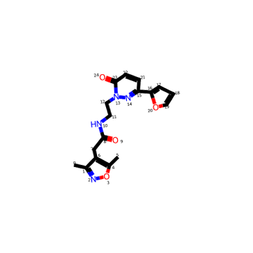 Cc1noc(C)c1CC(=O)NCCn1nc(-c2ccco2)ccc1=O